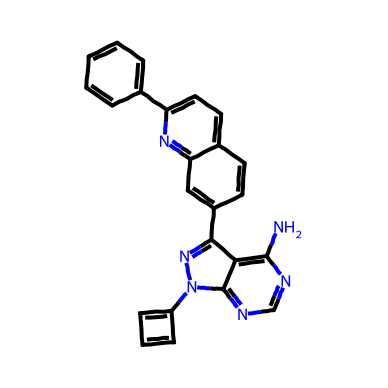 Nc1ncnc2c1c(-c1ccc3ccc(-c4ccccc4)nc3c1)nn2C1=CC=C1